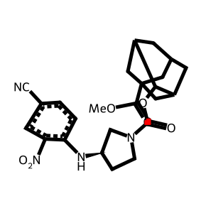 COC(=O)C12CC3CC(C1)C(OC(=O)N1CC[C@@H](Nc4ccc(C#N)cc4[N+](=O)[O-])C1)C(C3)C2